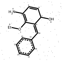 CCOC1=C(N)C=CC(O)C1=Cc1ccccc1